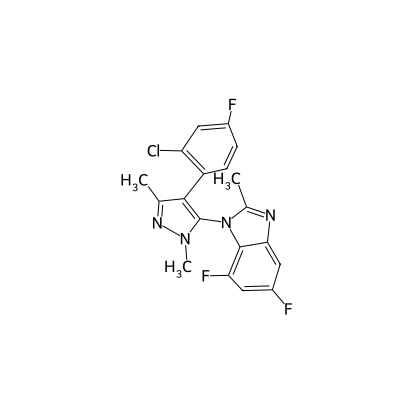 Cc1nn(C)c(-n2c(C)nc3cc(F)cc(F)c32)c1-c1ccc(F)cc1Cl